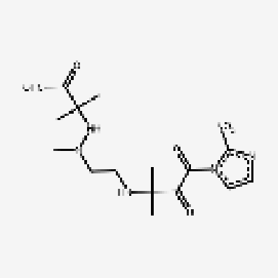 CN(CCNC(C)(C)C(=O)C(=O)n1ccnc1[N+](=O)[O-])NC(C)(C)C(=O)C=O